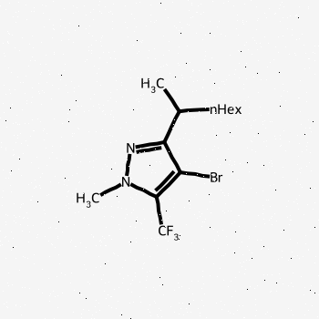 CCCCCCC(C)c1nn(C)c(C(F)(F)F)c1Br